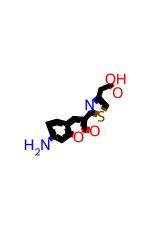 Nc1ccc2cc(-c3nc(CC(=O)O)cs3)c(=O)oc2c1